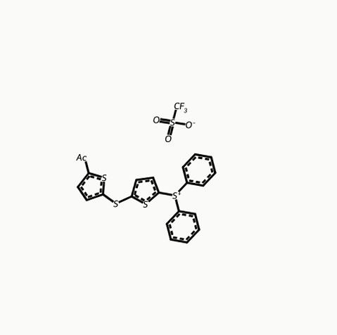 CC(=O)c1ccc(Sc2ccc([S+](c3ccccc3)c3ccccc3)s2)s1.O=S(=O)([O-])C(F)(F)F